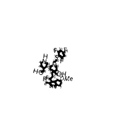 COc1ccc2ncc(CF)c(C(F)CCC3(CO)CCN(CCSc4c(F)cc(F)cc4F)CC3)c2c1.OCC1CCNCC1